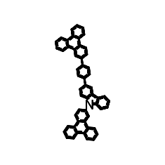 c1ccc2c(c1)c1ccccc1c1cc(-c3ccc(-c4ccc5c(c4)c4ccccc4n5-c4ccc5c6ccccc6c6ccccc6c5c4)cc3)ccc21